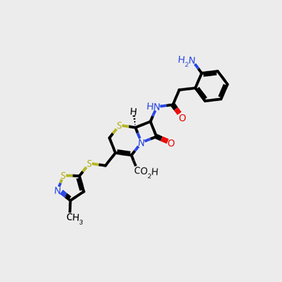 Cc1cc(SCC2=C(C(=O)O)N3C(=O)C(NC(=O)Cc4ccccc4N)[C@@H]3SC2)sn1